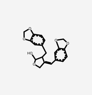 OC1OCC(=Cc2ccc3c(c2)OCO3)C1Cc1ccc2c(c1)OCO2